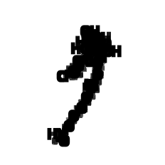 CC(=O)NCCOCCOCCOCCOCc1cn(CCOCCOCCO[C@]2(C(=O)O)C[C@H](O)[C@@H](NC(=O)CO)[C@H]([C@H](O)[C@H](O)CNC(=O)Cc3ccc(Cl)cc3)O2)nn1